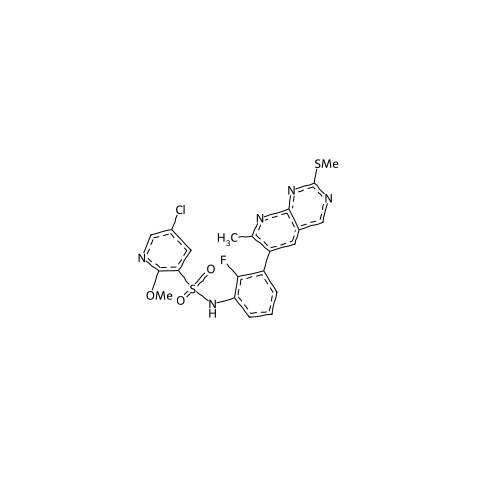 COc1ncc(Cl)cc1S(=O)(=O)Nc1cccc(-c2cc3cnc(SC)nc3nc2C)c1F